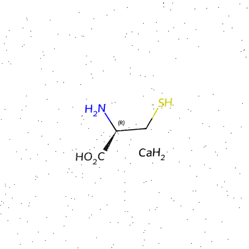 N[C@@H](CS)C(=O)O.[CaH2]